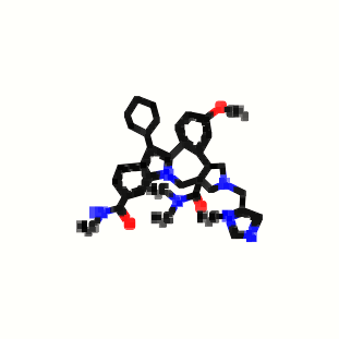 CNC(=O)c1ccc2c(C3CCCCC3)c3n(c2c1)CC1(C(=O)N(C)C)CN(Cc2cncn2C)CC1c1cc(OC)ccc1-3